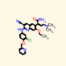 CCOc1cc2nc(Nc3ccc(OCc4ccccn4)c(Cl)c3)c(C#N)cc2cc1C(=CCN(C)C)C(N)=O